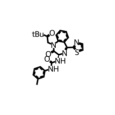 Cc1cccc(NC(=O)N[C@@H]2N=C(c3nccs3)c3ccccc3N(CC(=O)C(C)(C)C)C2=O)c1